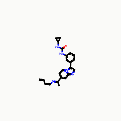 C=C/C=C\N=C(/C)c1ccn2c(-c3cccc(NC(=O)NC4CC4)c3)cnc2c1